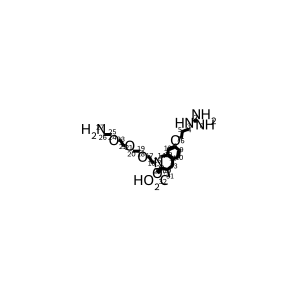 N=C(N)NCCCOc1ccc2c(c1)CN(CCOCCOCCOCCN)C(=O)[C@H](CC(=O)O)C2